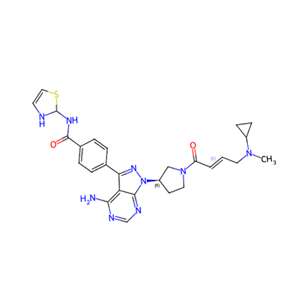 CN(C/C=C/C(=O)N1CC[C@@H](n2nc(-c3ccc(C(=O)NC4NC=CS4)cc3)c3c(N)ncnc32)C1)C1CC1